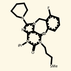 CSCCCn1c(=O)c2c(nc(N3CCCCC3)n2Cc2c(F)cccc2Cl)n(C(C)C)c1=O